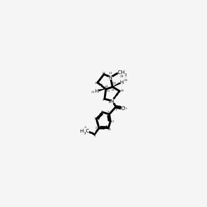 CCc1ccc(C(=O)N2C[C@@H]3CCN(C)[C@@H]3C2)cc1